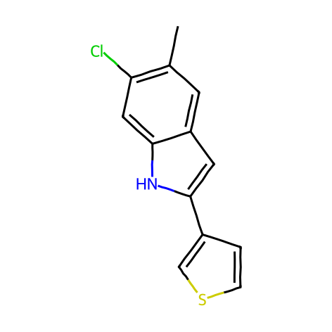 Cc1cc2cc(-c3ccsc3)[nH]c2cc1Cl